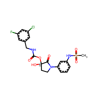 CS(=O)(=O)Nc1cccc(N2CC[C@](O)(OC(=O)NCc3cc(F)cc(Cl)c3)C2=O)c1